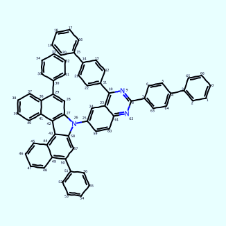 c1ccc(-c2ccc(-c3nc(-c4ccc(-c5ccccc5)cc4)c4cc(-n5c6cc(-c7ccccc7)c7ccccc7c6c6c7ccccc7c(-c7ccccc7)cc65)ccc4n3)cc2)cc1